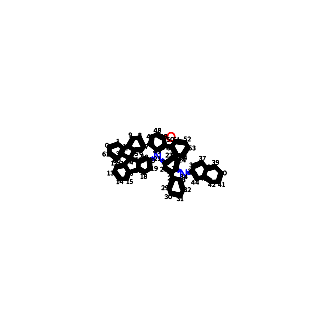 c1ccc(C2(c3ccccc3)c3ccccc3-c3ccc(N(c4ccc5c(c4)c4ccccc4n5-c4ccc5ccccc5c4)c4cccc5oc6ccccc6c45)cc32)cc1